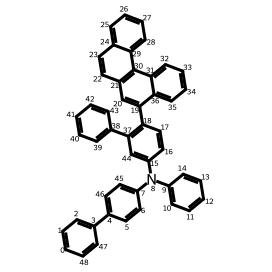 c1ccc(-c2ccc(N(c3ccccc3)c3ccc(-c4cc5ccc6ccccc6c5c5ccccc45)c(-c4ccccc4)c3)cc2)cc1